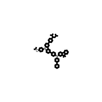 CC(C)CC(c1ccc(-c2ccc3c(c2)c2cc(-c4ccc(N(c5ccc(-c6ccccc6)cc5)c5ccc6c(c5)C(C)(C)c5ccccc5-6)cc4)ccc2n3-c2ccc(OC(C)C)cc2)cc1)C(C)C